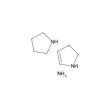 C1=CNCC1.C1CCNC1.N